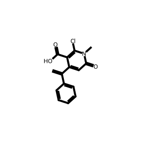 C=C(c1ccccc1)c1cc(=O)n(C)c(Cl)c1C(=O)O